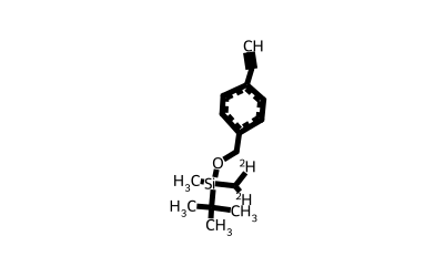 [2H]C([2H])[Si](C)(OCc1ccc(C#C)cc1)C(C)(C)C